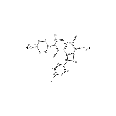 CCOC(=O)c1c2n(c3c(F)c(N4CCN(C)CC4)c(F)cc3c1=O)C(c1ccc(F)cc1)S2